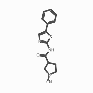 N#CN1CCC(C(=O)Nc2ncc(-c3ccccc3)s2)C1